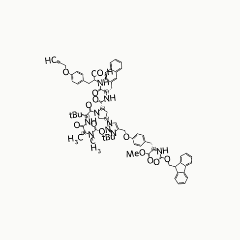 C#CCOc1ccc(CC(NC(=O)[C@H](Cc2ccc3ccccc3c2)NC(=O)[C@@H]2C[C@H](n3cc(COc4ccc(C[C@H](NC(=O)OCC5c6ccccc6-c6ccccc65)C(=O)OC)cc4)nn3)CN2C(=O)[C@@H](NC(=O)[C@H](C)N(C)C(=O)OC(C)(C)C)C(C)(C)C)C(=O)O)cc1